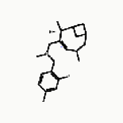 Cc1ccc(CN(C)C/C2=C/C(C)CC3CC(C3)[C@@H]2C)c(F)c1